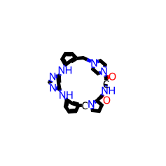 O=C1NCC(=O)N2CCN(CC2)Cc2cccc(c2)Nc2cc(ncn2)Nc2cccc(c2)CN2CCCC12